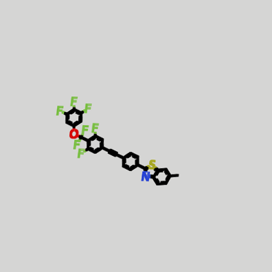 Cc1ccc2nc(-c3ccc(C#Cc4cc(F)c(C(F)(F)Oc5cc(F)c(F)c(F)c5)c(F)c4)cc3)sc2c1